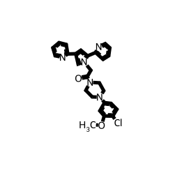 COc1cc(N2CCN(C(=O)Cn3cc(-c4ccccn4)cc3-c3ccccn3)CC2)ccc1Cl